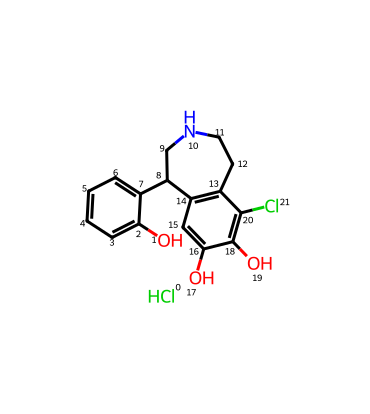 Cl.Oc1ccccc1C1CNCCc2c1cc(O)c(O)c2Cl